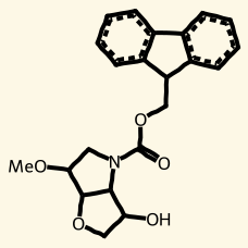 COC1CN(C(=O)OCC2c3ccccc3-c3ccccc32)C2C(O)COC12